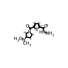 CN(C)C1CCN(C(=O)c2ccc(C(=O)NN)s2)C1